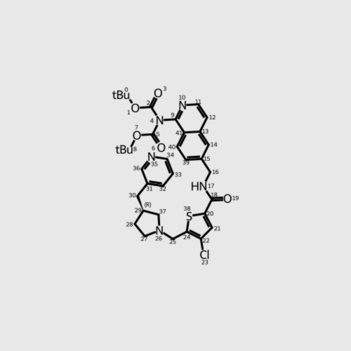 CC(C)(C)OC(=O)N(C(=O)OC(C)(C)C)c1nccc2cc(CNC(=O)c3cc(Cl)c(CN4CC[C@@H](Cc5cccnc5)C4)s3)ccc12